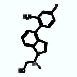 C[C@H](CO)n1ccc2c(-c3ccc(F)cc3N)cccc21